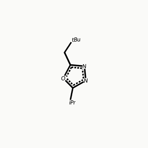 CC(C)c1nnc(CC(C)(C)C)o1